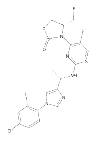 C[C@H](Nc1ncc(F)c(N2C(=O)OC[C@@H]2CF)n1)c1cn(-c2ccc(Cl)cc2F)cn1